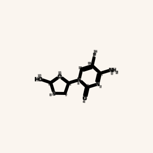 Nc1nc(=O)n(C2CSC(O)O2)cc1F